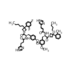 CCCCCC1(c2ccc(F)cc2F)CN(C(=O)[C@@H](Cc2ccc(OC)cc2)NC(=O)CCc2c[nH]cn2)C1.CCCCOC1(c2ccccc2C)CN(C(=O)[C@@H](Cc2ccc(OC)cc2)NC(=O)C=Cc2c[nH]cn2)C1